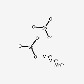 [Mn+2].[Mn+2].[Mn+2].[O-][Sb]([O-])[O-].[O-][Sb]([O-])[O-]